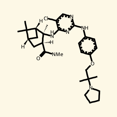 CNC(=O)[C@H]1C[C@H]2C[C@H](C2(C)C)[C@@]1(C)Nc1nc(Nc2ccc(OCC(C)(C)N3CCCC3)cc2)ncc1Cl